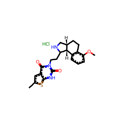 COc1cccc2c1CC[C@H]1CNC(CCn3c(=O)[nH]c4sc(C)cc4c3=O)[C@@H]21.Cl